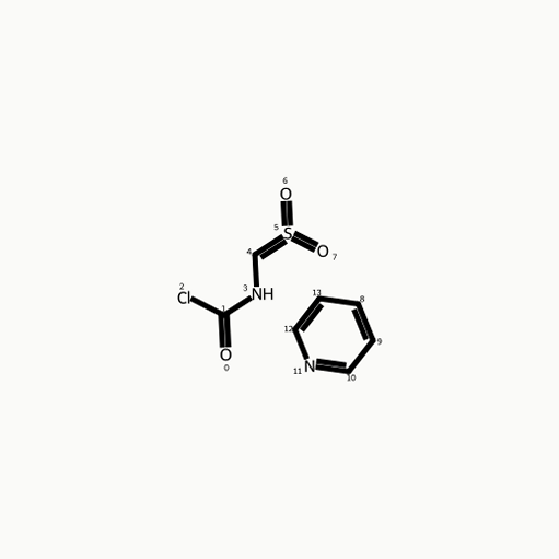 O=C(Cl)NC=S(=O)=O.c1ccncc1